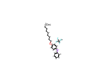 CCCCCCCCCCCCCCCCCCOc1ccc([I+]c2ccccc2)cc1.F[B-](F)(F)F